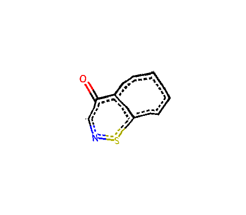 O=c1[c]nsc2ccccc12